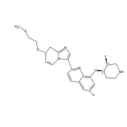 COCCOC1C=Cn2c(-c3ccc4cc(F)cc(O[C@@H]5CCNC[C@@H]5F)c4n3)cnc2C1